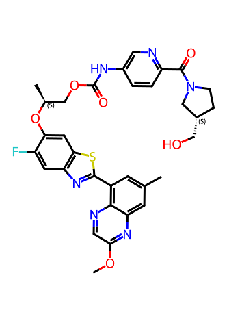 COc1cnc2c(-c3nc4cc(F)c(O[C@@H](C)COC(=O)Nc5ccc(C(=O)N6CC[C@H](CO)C6)nc5)cc4s3)cc(C)cc2n1